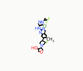 Cc1cc2cnc(Nc3cnn(C4CC4(F)F)c3Cl)nc2cc1C1CCN(C2COC[C@H]2O)CC1F